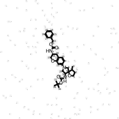 CC1CCOC12CN(c1ccc3c(c1)OC[C@H](NC(=O)OCc1ccccc1)C3)CC2NC(=O)OC(C)(C)C